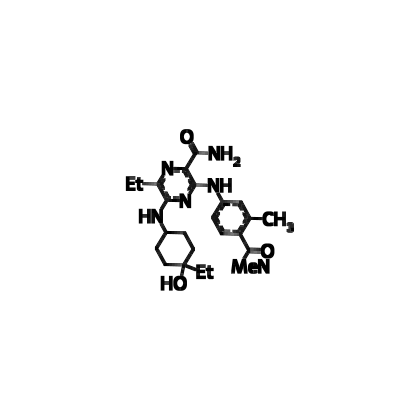 CCc1nc(C(N)=O)c(Nc2ccc(C(=O)NC)c(C)c2)nc1NC1CCC(O)(CC)CC1